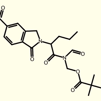 CCCC(C(=O)N(C=O)COC(=O)C(C)(C)C)N1Cc2cc(C=O)ccc2C1=O